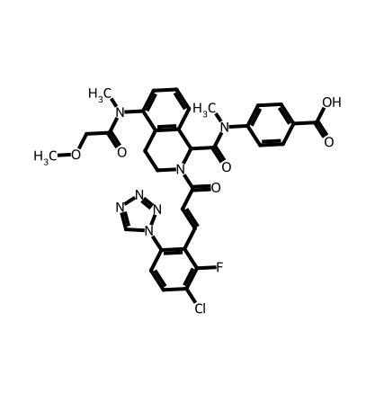 COCC(=O)N(C)c1cccc2c1CCN(C(=O)C=Cc1c(-n3cnnn3)ccc(Cl)c1F)C2C(=O)N(C)c1ccc(C(=O)O)cc1